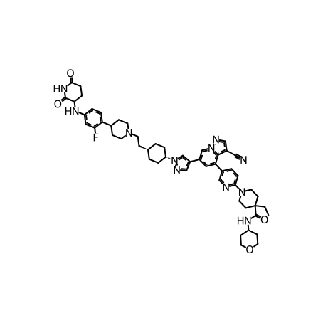 CCC1(C(=O)NC2CCOCC2)CCN(c2ccc(-c3cc(-c4cnn([C@H]5CC[C@H](CCN6CCC(c7ccc(NC8CCC(=O)NC8=O)cc7F)CC6)CC5)c4)cn4ncc(C#N)c34)cn2)CC1